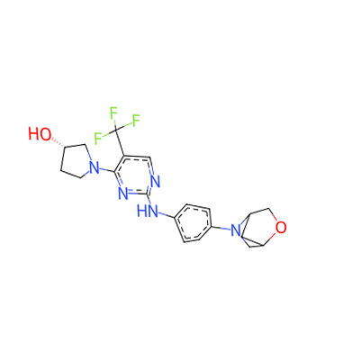 O[C@H]1CCN(c2nc(Nc3ccc(N4CC5CC4CO5)cc3)ncc2C(F)(F)F)C1